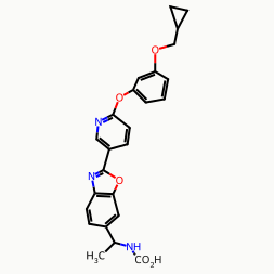 CC(NC(=O)O)c1ccc2nc(-c3ccc(Oc4cccc(OCC5CC5)c4)nc3)oc2c1